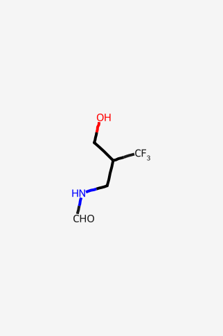 O=CNCC(CO)C(F)(F)F